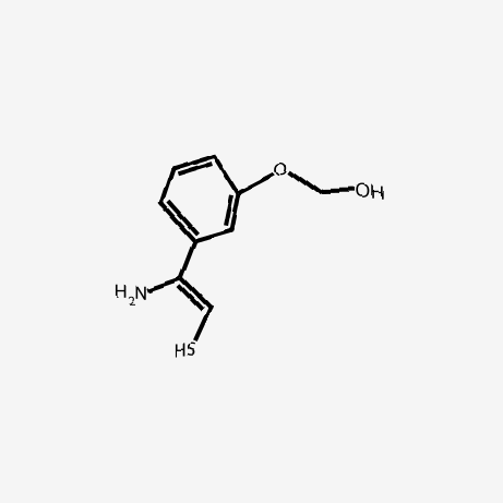 N/C(=C\S)c1cccc(OCO)c1